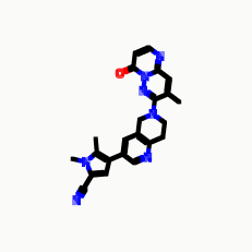 Cc1cc2nccc(=O)n2nc1N1CCc2ncc(-c3cc(C#N)n(C)c3C)cc2C1